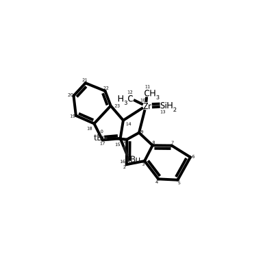 CC(C)(C)C1=Cc2ccccc2[CH]1[Zr]([CH3])([CH3])(=[SiH2])[CH]1C(C(C)(C)C)=Cc2ccccc21